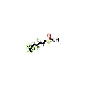 CC(=O)SCCC(F)C(F)CC(F)(F)C(F)(F)F